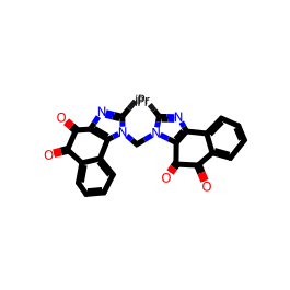 CC(C)c1nc2c(n1Cn1c(C(C)C)nc3c1-c1ccccc1C(=O)C3=O)C(=O)C(=O)c1ccccc1-2